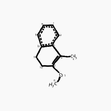 COC1=C(C)c2ccccc2CC1